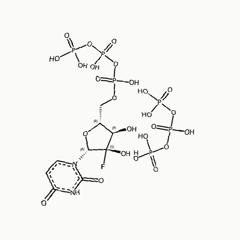 O=P(O)(O)OP(=O)(O)OP(=O)(O)O.O=c1ccn([C@@H]2O[C@H](COP(=O)(O)OP(=O)(O)OP(=O)(O)O)[C@@H](O)[C@]2(O)F)c(=O)[nH]1